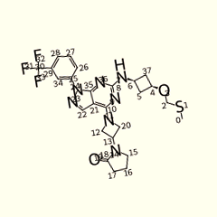 CSCO[C@H]1C[C@@H](Nc2nc(N3CC(N4CCCC4=O)C3)c3cnn(-c4cccc(C(F)(F)F)c4)c3n2)C1